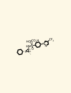 C[C@H]1[C@H](NS(=O)(=O)c2ccc(-n3cc(C(F)(F)F)cn3)cc2)[C@H]1c1ccccc1.O=C(O)O